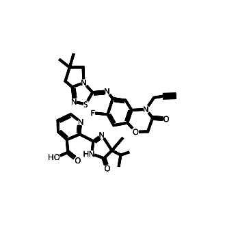 C#CCN1C(=O)COc2cc(F)c(/N=c3\snc4n3CC(C)(C)C4)cc21.CC(C)C1(C)N=C(c2ncccc2C(=O)O)NC1=O